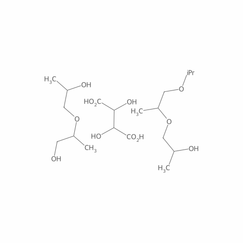 CC(O)COC(C)CO.CC(O)COC(C)COC(C)C.O=C(O)C(O)C(O)C(=O)O